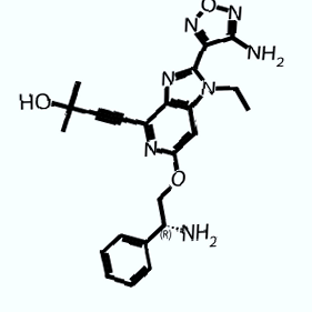 CCn1c(-c2nonc2N)nc2c(C#CC(C)(C)O)nc(OC[C@H](N)c3ccccc3)cc21